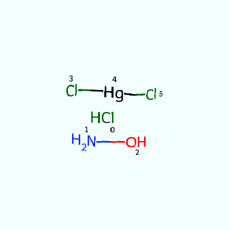 Cl.NO.[Cl][Hg][Cl]